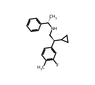 Cc1ccc([C@@H](CN[C@@H](C)c2ccccc2)C2CC2)cc1F